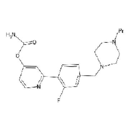 CC(C)N1CCN(Cc2ccc(-c3cc(OC(N)=O)ccn3)c(F)c2)CC1